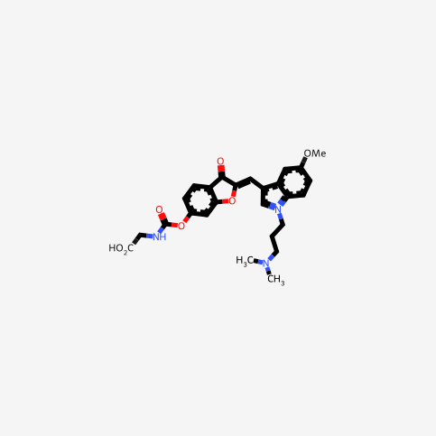 COc1ccc2c(c1)c(/C=C1\Oc3cc(OC(=O)NCC(=O)O)ccc3C1=O)cn2CCCN(C)C